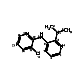 CN(C)c1ncccc1Nc1ncncc1Cl